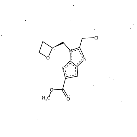 COC(=O)c1cc2nc(CCl)n(C[C@@H]3CCO3)c2s1